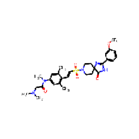 Cc1cc(N(C)C(=O)CN(C)C)cc(C)c1C=CS(=O)(=O)N1CCC2(CC1)N=C(c1cccc(OC(F)(F)F)c1)NC2=O